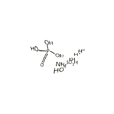 N.O=P(O)(O)O.O=S(=O)(O)O.[H+].[H+].[KH]